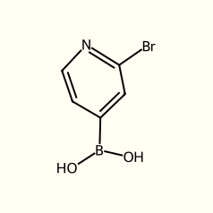 OB(O)c1ccnc(Br)c1